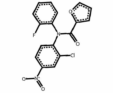 O=C(c1ccco1)N(c1ccccc1F)c1ccc([N+](=O)[O-])cc1Cl